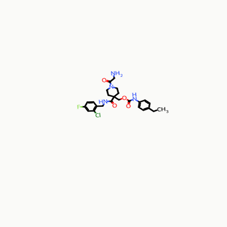 CCc1ccc(NC(=O)OCC2(C(=O)NCc3ccc(F)cc3Cl)CCN(C(=O)CN)CC2)cc1